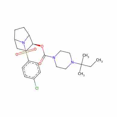 CCC(C)(C)N1CCN(C(=O)O[C@H]2CCC3CCC2N3S(=O)(=O)c2ccc(Cl)cc2)CC1